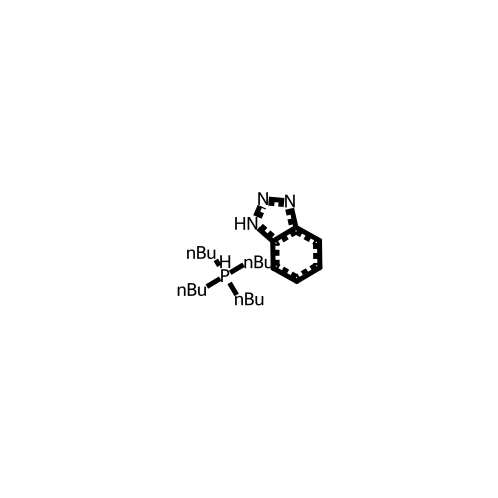 CCCC[PH](CCCC)(CCCC)CCCC.c1ccc2[nH]nnc2c1